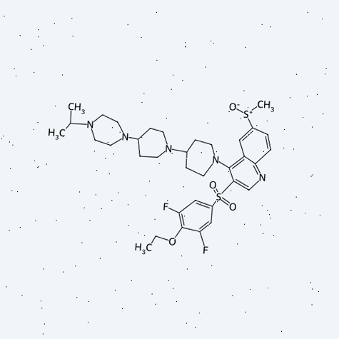 CCOc1c(F)cc(S(=O)(=O)c2cnc3ccc([S+](C)[O-])cc3c2N2CCC(N3CCC(N4CCN(C(C)C)CC4)CC3)CC2)cc1F